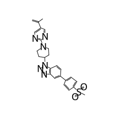 C=C(C)c1cnc(N2CCC(n3nnc4cc(-c5ccc(S(C)(=O)=O)cc5)ccc43)CC2)nc1